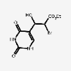 CCOC(=O)C(Br)C(O)c1c[nH]c(=O)[nH]c1=O